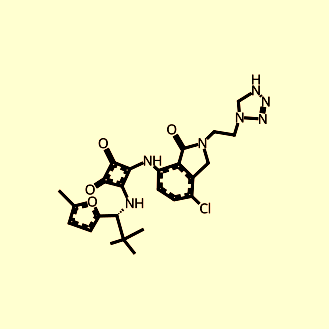 Cc1ccc([C@H](Nc2c(Nc3ccc(Cl)c4c3C(=O)N(CCN3CNN=N3)C4)c(=O)c2=O)C(C)(C)C)o1